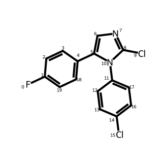 Fc1ccc(-c2cnc(Cl)n2-c2ccc(Cl)cc2)cc1